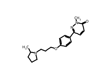 CC1CCCN1CCCOc1ccc(-c2ccc(=O)n(C)n2)cc1